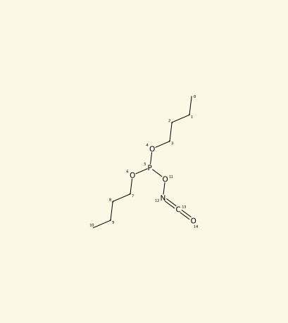 CCCCOP(OCCCC)ON=C=O